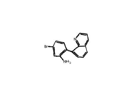 Nc1cc(Br)ccc1-c1cccc2cccnc12